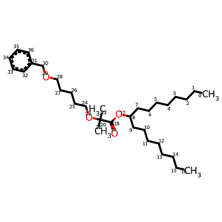 CCCCCCCCC(CCCCCCCC)OC(=O)C(C)(C)OCCCCCOCc1ccccc1